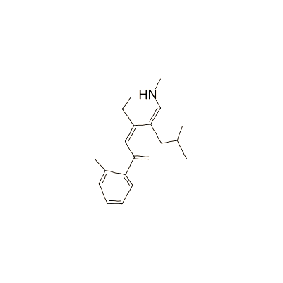 C=C(/C=C(CC)\C(=C/NC)CC(C)C)c1ccccc1C